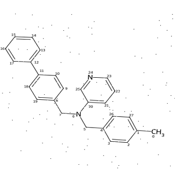 Cc1ccc(CN(Cc2ccc(-c3ccccc3)cc2)c2cccnc2)cc1